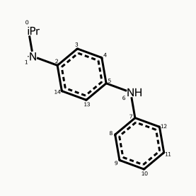 CC(C)[N]c1ccc(Nc2ccccc2)cc1